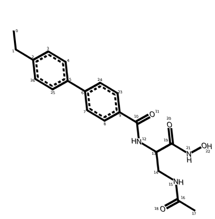 CCc1ccc(-c2ccc(C(=O)NC(CNC(C)=O)C(=O)NO)cc2)cc1